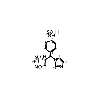 N#CCCC(c1ccccc1)n1ccnc1.O=S(=O)(O)O.O=S(=O)(O)O